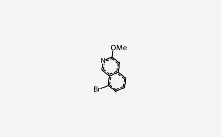 COc1cc2cccc(Br)c2cn1